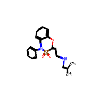 CC(C)CNCCC1Oc2ccccc2N(c2ccccc2)S1(=O)=O